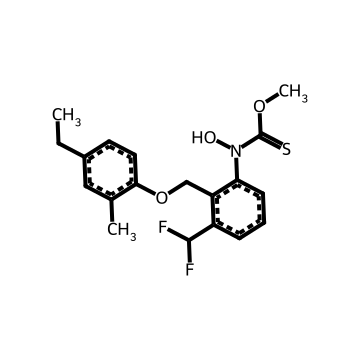 CCc1ccc(OCc2c(C(F)F)cccc2N(O)C(=S)OC)c(C)c1